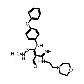 CNS/C(Nc1ccc(Oc2ccccc2)cc1)=C(\C=O)C(=N)NCCN1CCOCC1